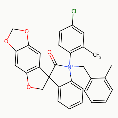 [CH]c1ccccc1C[N+]1(c2ccc(Cl)cc2C(F)(F)F)C(=O)C2(COc3cc4c(cc32)OCO4)c2ccccc21